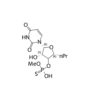 CCC[C@H]1O[C@@H](n2ccc(=O)[nH]c2=O)[C@@H](O)C1OP(O)(=S)OC